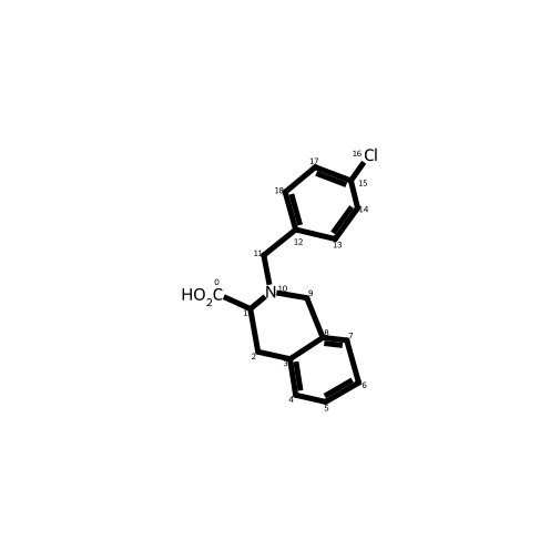 O=C(O)C1Cc2ccccc2CN1Cc1ccc(Cl)cc1